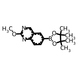 COc1ncc2cc(B3OC(C)(C)C(C)(C)O3)ccc2n1